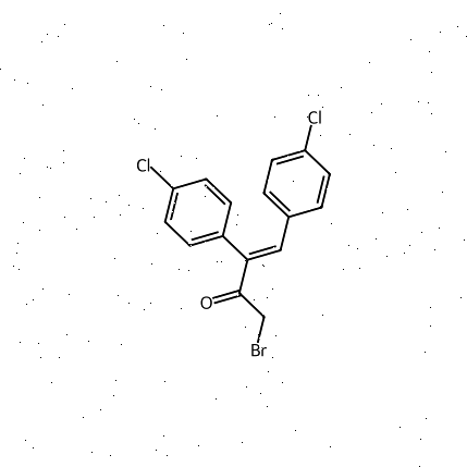 O=C(CBr)/C(=C/c1ccc(Cl)cc1)c1ccc(Cl)cc1